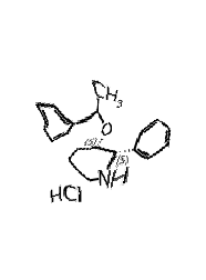 CC(O[C@H]1CCCN[C@H]1c1ccccc1)c1ccccc1.Cl